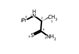 CC(C)N[C@H](C)C(N)=S